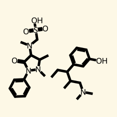 CC1C(N(C)CS(=O)(=O)O)C(=O)N(c2ccccc2)N1C.CCC(c1cccc(O)c1)C(C)CN(C)C